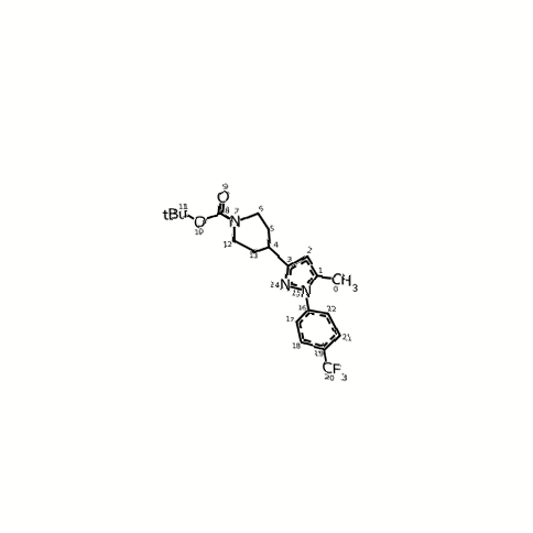 Cc1cc(C2CCN(C(=O)OC(C)(C)C)CC2)nn1-c1ccc(C(F)(F)F)cc1